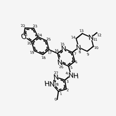 Cc1cc(Nc2cc(N3CCN(C)CC3)nc(-c3ccc4occc4c3)n2)n[nH]1